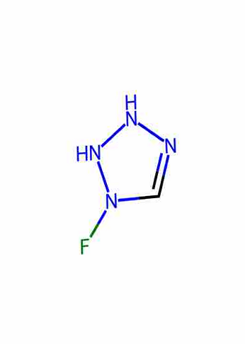 FN1C=NNN1